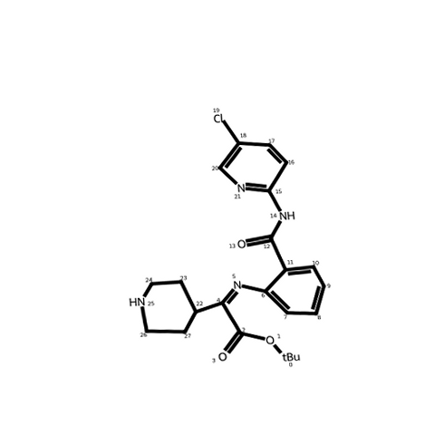 CC(C)(C)OC(=O)C(=Nc1ccccc1C(=O)Nc1ccc(Cl)cn1)C1CCNCC1